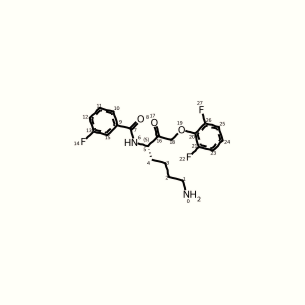 NCCCC[C@H](NC(=O)c1cccc(F)c1)C(=O)COc1c(F)cccc1F